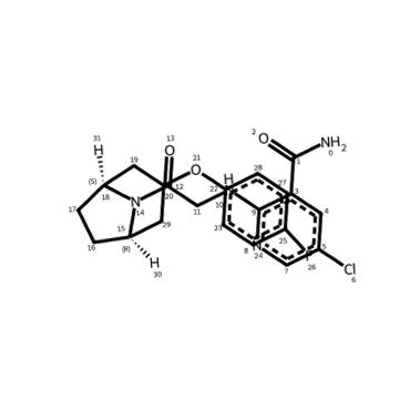 NC(=O)c1cc(Cl)cnc1NCC(=O)N1[C@@H]2CC[C@H]1CC(Oc1ccc(F)cc1)C2